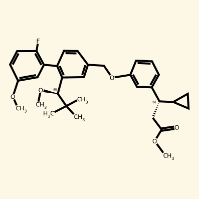 COC(=O)C[C@H](c1cccc(OCc2ccc(-c3cc(OC)ccc3F)c([C@H](OC)C(C)(C)C)c2)c1)C1CC1